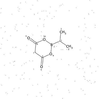 CC(C)B1OC(=O)CC(=O)O1